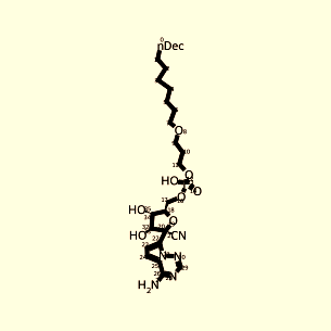 CCCCCCCCCCCCCCCCCOCCCOP(=O)(O)OC[C@H]1O[C@@](C#N)(c2ccc3c(N)ncnn23)[C@H](O)[C@@H]1O